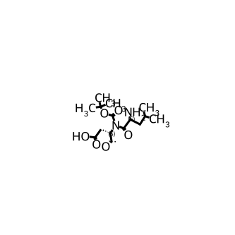 CC(C)C[C@H](N)C(=O)N(C(=O)OC(C)(C)C)[C@H]([C]=O)CC(=O)O